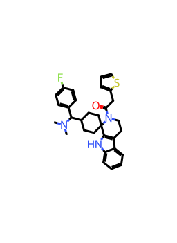 CN(C)C(c1ccc(F)cc1)C1CCC2(CC1)c1[nH]c3ccccc3c1CCN2C(=O)Cc1cccs1